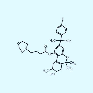 Br.CCCC(C)(c1ccc(F)cc1)c1cc(OC(=O)CCCN2CCOCC2)c2c(c1)OC(C)(C)C1=C2CC(C)CC1